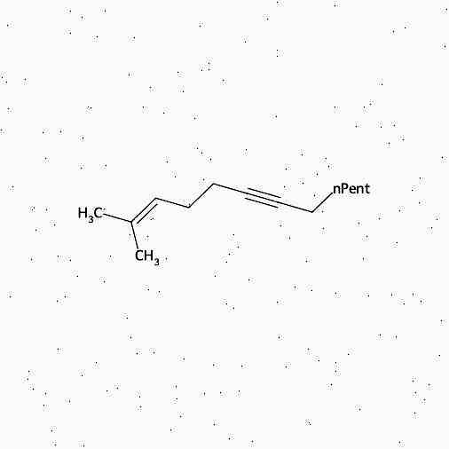 CCCCCCC#CCCC=C(C)C